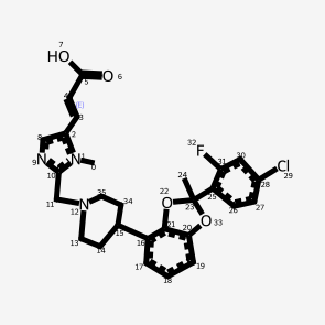 Cn1c(/C=C/C(=O)O)cnc1CN1CCC(c2cccc3c2OC(C)(c2ccc(Cl)cc2F)O3)CC1